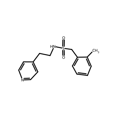 Cc1ccccc1CS(=O)(=O)NCCc1ccncc1